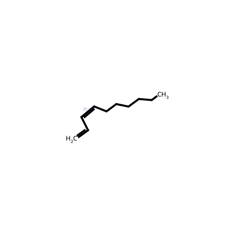 C=C/C=C\CCCCCC